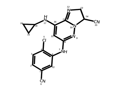 N#Cc1ccc(Cl)c(NC2=NN3C(=NCC3C#N)C(NC3CC3)=C2)c1